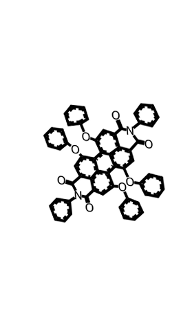 O=C1c2cc(Oc3ccccc3)c3c4c(Oc5ccccc5)cc5c6c(cc(Oc7ccccc7)c(c7c(Oc8ccccc8)cc(c2c37)C(=O)N1c1ccccc1)c64)C(=O)N(c1ccccc1)C5=O